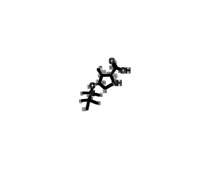 C[C@@H]1[C@@H](O[Si](C)(C)C(C)(C)C)CN[C@@H]1C(=O)O